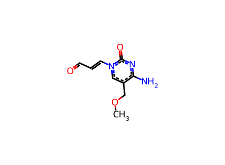 COCc1cn(C=CC=O)c(=O)nc1N